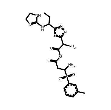 CCC(NC1=NCCN1)c1nnc(C(N)C(=O)OC(=O)CC(N)S(=O)(=O)c2cccc(C)c2)s1